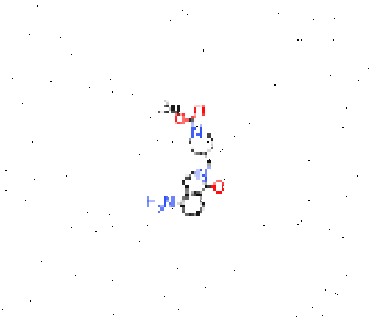 CC(C)(C)OC(=O)N1CCC(Cn2ccc3c(N)cccc3c2=O)CC1